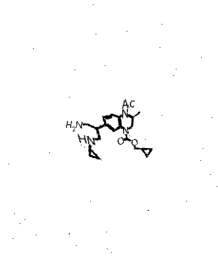 CC(=O)N1c2ccc(C(CN)CNC3CC3)cc2N(C(=O)OCC2CC2)C[C@@H]1C